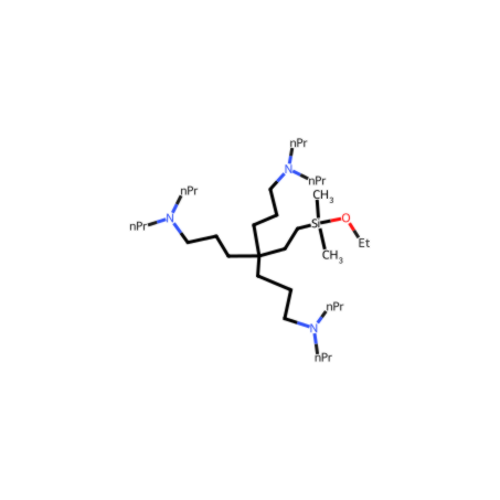 CCCN(CCC)CCCC(CCCN(CCC)CCC)(CCCN(CCC)CCC)CC[Si](C)(C)OCC